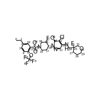 CCc1ccc(OC(F)(F)F)c(S(=O)(=O)N2CC[C@@H](n3ncc(NC[C@@]4(F)CCCOC4)c(Cl)c3=O)[C@H](F)C2)c1